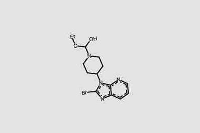 CCOC(O)N1CCC(n2c(Br)nc3cccnc32)CC1